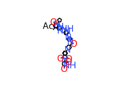 CC(=O)c1c(C)c2cnc(Nc3ccc(N4CCN(C(=O)C5CCN(c6ccc7c(c6)C(=O)N(C6CCC(=O)NC6=O)C7=O)CC5)CC4)cn3)nc2n(C2CCCC2)c1=O